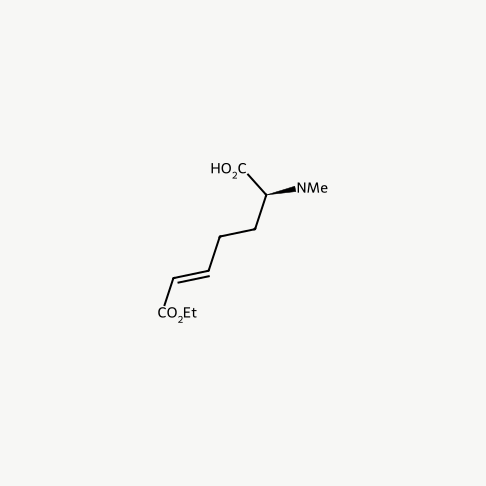 CCOC(=O)/C=C/CC[C@H](NC)C(=O)O